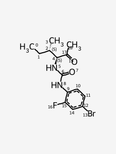 CC[C@H](C)[C@H](NC(=O)Nc1ccc(Br)cc1F)C(C)=O